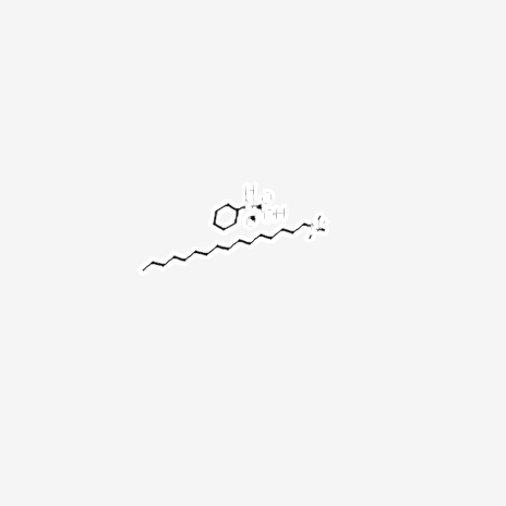 CCCCCCCCCCCCCCCC[N+](C)(C)C.O=S(=O)(O)NC1CCCCC1